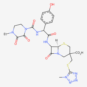 CCN1CCN(C(=O)NC(C(=O)NC2C(=O)N3CC(CSc4nnnn4C)(C(=O)O)CS[C@H]23)c2ccc(O)cc2)C(=O)C1=O